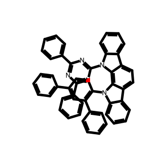 c1ccc(-c2ccc(-n3c4ccccc4c4ccc5c6ccccc6n(-c6nc(-c7ccccc7)nc(-c7ccccc7)n6)c5c43)c(-c3ccccc3)c2)cc1